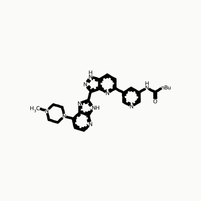 CCCCC(=O)Nc1cncc(-c2ccc3[nH]nc(-c4nc5c(N6CCN(C)CC6)ccnc5[nH]4)c3n2)c1